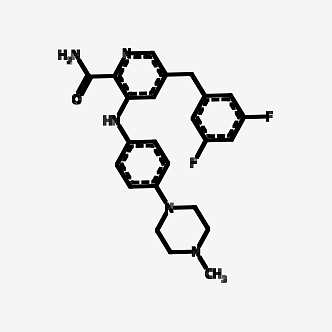 CN1CCN(c2ccc(Nc3cc(Cc4cc(F)cc(F)c4)cnc3C(N)=O)cc2)CC1